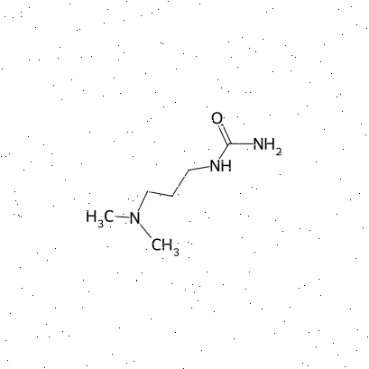 CN(C)CCCNC(N)=O